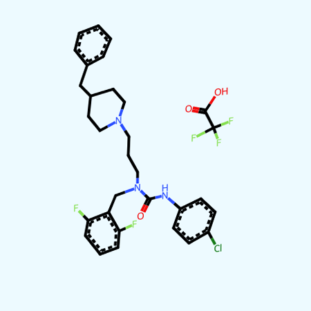 O=C(Nc1ccc(Cl)cc1)N(CCCN1CCC(Cc2ccccc2)CC1)Cc1c(F)cccc1F.O=C(O)C(F)(F)F